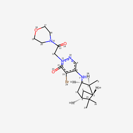 C[C@H]1[C@H]2C[C@H](C[C@H]1Nc1cnn(CC(=O)N3CCOCC3)c(=O)c1Br)C2(C)C